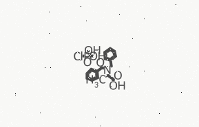 C[C@@H](C(=O)O)N(Cc1ccccc1)C(=O)c1ccccc1.O=P(O)(O)Cl